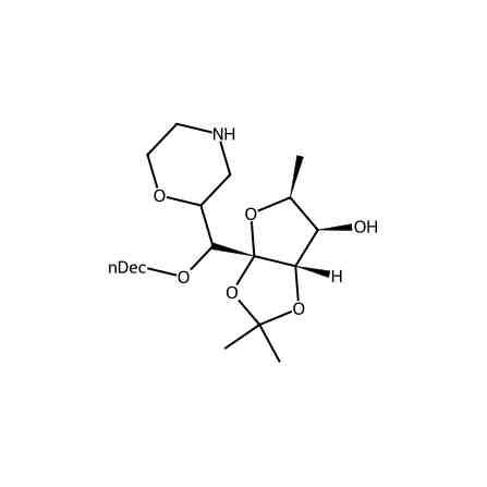 CCCCCCCCCCOC(C1CNCCO1)[C@@]12O[C@@H](C)[C@@H](O)[C@@H]1OC(C)(C)O2